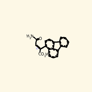 NC(=O)/C=C(/C(=O)O)c1ccc2c3c(cccc13)-c1ccccc1-2